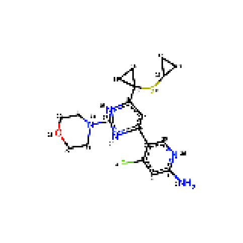 Nc1cc(F)c(-c2cc(C3(SC4CC4)CC3)nc(N3CCOCC3)n2)cn1